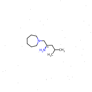 CC(C)C[C@@H](N)CN1CCCCCC1